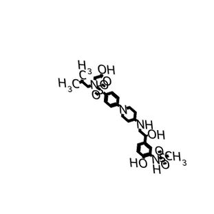 CC(C)CN(CC(=O)O)S(=O)(=O)c1ccc(N2CCC(NC[C@@H](O)c3ccc(O)c(NS(C)(=O)=O)c3)CC2)cc1